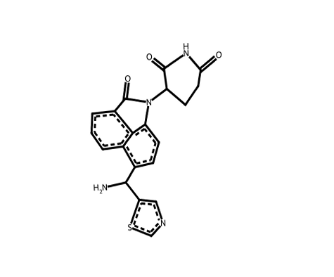 NC(c1cncs1)c1ccc2c3c(cccc13)C(=O)N2C1CCC(=O)NC1=O